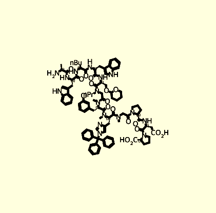 CCCC[C@H](NC(=O)[C@H](Cc1c[nH]c2ccccc12)NC(=O)[C@H](C)N)C(=O)N[C@@H](Cc1c[nH]c2ccccc12)C(=O)N[C@@H](COC1CCCCO1)C(=O)N(CCC)CC(=O)N(C)[C@@H](Cc1cccc(Cl)c1)C(=O)N(C)[C@@H](Cc1cn(C(c2ccccc2)(c2ccccc2)c2ccccc2)cn1)C(=O)N(C)CC(=O)N1CCC[C@H]1C(=O)N[C@@H](CC(=O)O)C(=O)N1CCC[C@H]1C(=O)O